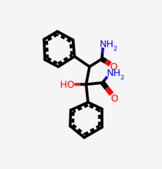 NC(=O)C(c1ccccc1)C(O)(C(N)=O)c1ccccc1